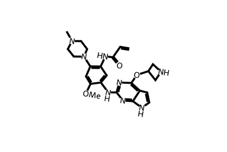 C=CC(=O)Nc1cc(Nc2nc(OC3CNC3)c3cc[nH]c3n2)c(OC)cc1N1CCN(C)CC1